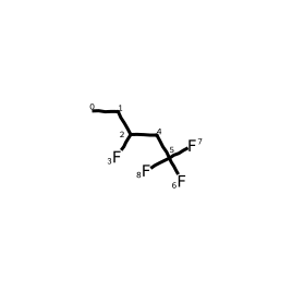 CCC(F)CC(F)(F)F